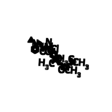 Cc1c(/C=C/C(=O)N(C)CCN(C)C)oc2cc(Cl)c(Oc3ccncc3C(=O)N3CCN(C4CC4)c4ccccc43)cc12